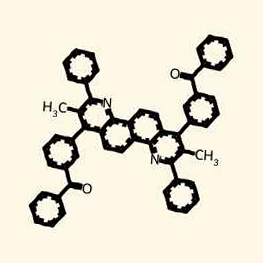 Cc1c(-c2ccccc2)nc2c(ccc3c2ccc2c(-c4cccc(C(=O)c5ccccc5)c4)c(C)c(-c4ccccc4)nc23)c1-c1cccc(C(=O)c2ccccc2)c1